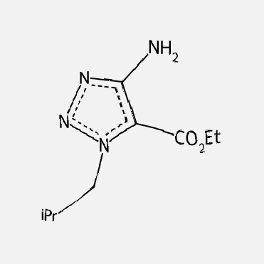 CCOC(=O)c1c(N)nnn1CC(C)C